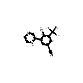 N#Cc1cc(-c2cnccn2)c(O)c(C(F)(F)F)c1